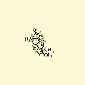 CC12CC[C@H]3[C@@H]4CC[C@H](O)[C@@]4(C)CC[C@@H]3[C@@]1(C)CCC(=O)C2